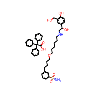 NS(=O)(=O)c1cccc(CCCCOCCCCCCNC[C@H](O)c2ccc(O)c(CO)c2)c1.O=C(O)C(c1ccccc1)(c1ccccc1)c1ccccc1